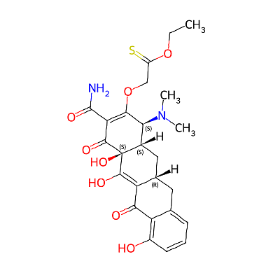 CCOC(=S)COC1=C(C(N)=O)C(=O)[C@@]2(O)C(O)=C3C(=O)c4c(O)cccc4C[C@H]3C[C@H]2[C@@H]1N(C)C